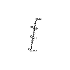 CNC(=O)CCCCCOCCNC(=O)CCOCCONC(O)COCCCOC